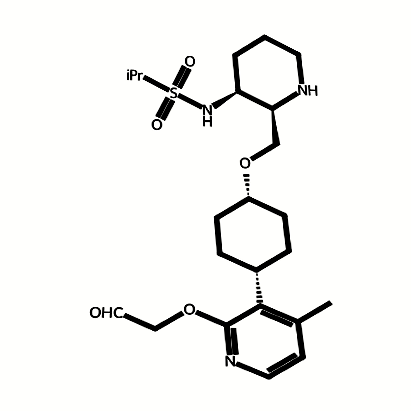 Cc1ccnc(OCC=O)c1[C@H]1CC[C@@H](OC[C@@H]2NCCC[C@@H]2NS(=O)(=O)C(C)C)CC1